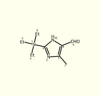 CC[Si](CC)(CC)c1nc(C)c(C=O)[nH]1